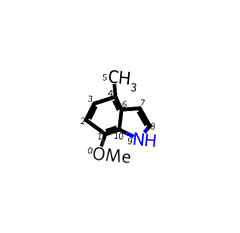 COc1ccc(C)c2cc[nH]c12